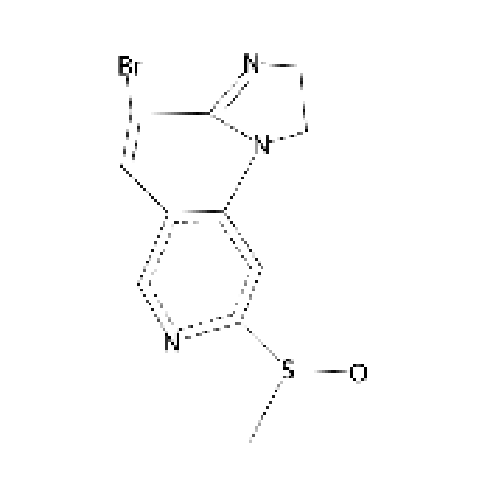 C[S+]([O-])c1cc2c(cn1)C=C(Br)C1=NCCN12